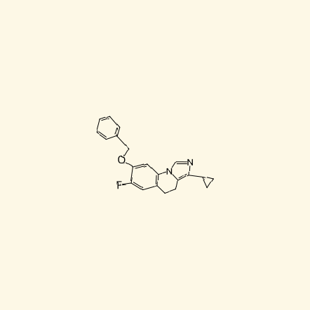 Fc1cc2c(cc1OCc1ccccc1)-n1cnc(C3CC3)c1CC2